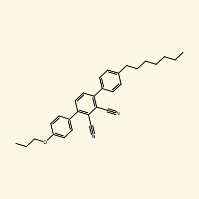 CCCCCCCc1ccc(-c2ccc(-c3ccc(OCCC)cc3)c(C#N)c2C#N)cc1